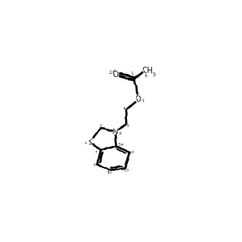 CC(=O)OCCN1CSc2ccccc21